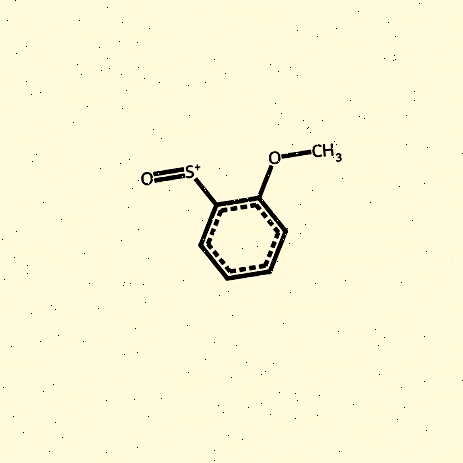 COc1ccccc1[S+]=O